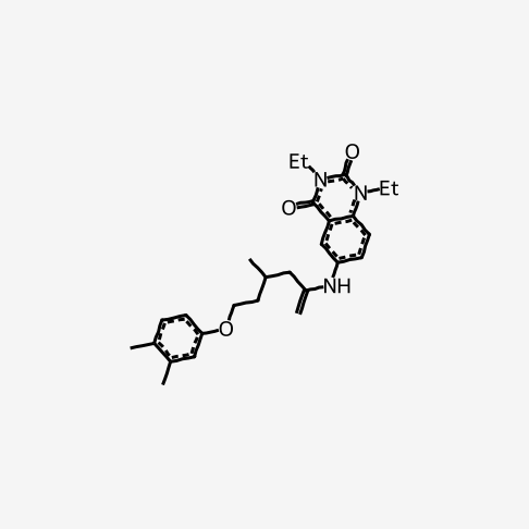 C=C(CC(C)CCOc1ccc(C)c(C)c1)Nc1ccc2c(c1)c(=O)n(CC)c(=O)n2CC